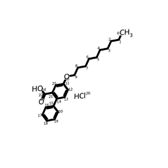 CCCCCCCCCCOc1ccc(-c2ccccc2)c(C(=O)O)c1.Cl